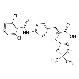 CC(C)(C)OC(=O)N[C@@H](Cc1ccc(NC(=O)c2c(Cl)cncc2Cl)cc1)C(=O)O